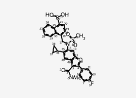 CNC(=O)c1c(-c2ccc(F)cc2)oc2cc(N(Cc3ccc(B(O)O)c4ccccc34)S(C)(=O)=O)c(C3CC3)cc12